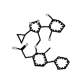 Cc1c(-c2ccccc2)ccc(CC(=O)O)c1OCc1c(-c2c(Cl)cccc2Cl)noc1C1CC1